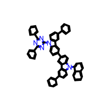 c1ccc(-c2ccc3c(c2)c2cc(-c4ccc5c(c4)c4cc(-c6ccccc6)ccc4n5-c4cccc5ccccc45)ccc2n3-c2nc(-c3ccccc3)nc(-c3ccccc3)n2)cc1